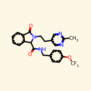 Cc1ncc(CCN2C(=O)c3ccccc3C2C(=O)NCc2ccc(OC(F)(F)F)cc2)cn1